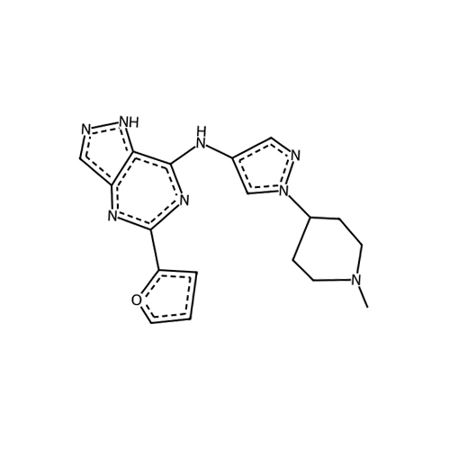 CN1CCC(n2cc(Nc3nc(-c4ccco4)nc4cn[nH]c34)cn2)CC1